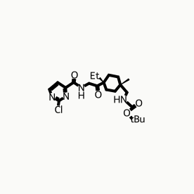 CC[C@]1(C(=O)CNC(=O)c2ccnc(Cl)n2)CC[C@@](C)(CNC(=O)OC(C)(C)C)CC1